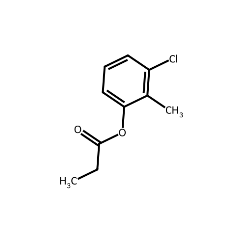 CCC(=O)Oc1cccc(Cl)c1C